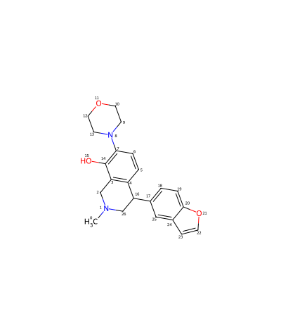 CN1Cc2c(ccc(N3CCOCC3)c2O)C(c2ccc3occc3c2)C1